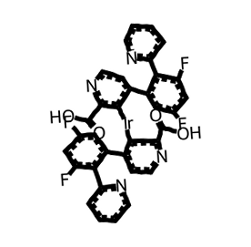 O=C(O)c1nccc(-c2cc(F)cc(F)c2-c2ccccn2)[c]1[Ir][c]1c(-c2cc(F)cc(F)c2-c2ccccn2)ccnc1C(=O)O